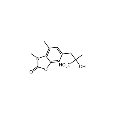 Cc1cc(CC(C)(O)C(=O)O)cc2oc(=O)n(C)c12